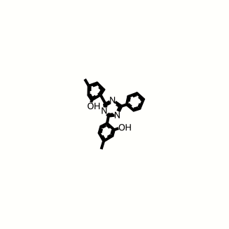 Cc1ccc(-c2nc(-c3ccccc3)nc(-c3ccc(C)cc3O)n2)c(O)c1